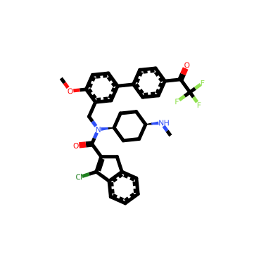 CN[C@H]1CC[C@@H](N(Cc2cc(-c3ccc(C(=O)C(F)(F)F)cc3)ccc2OC)C(=O)C2=C(Cl)c3ccccc3C2)CC1